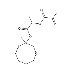 C=C(C)C(=O)OC(C)C(=O)OC1(C)COCCCCS1